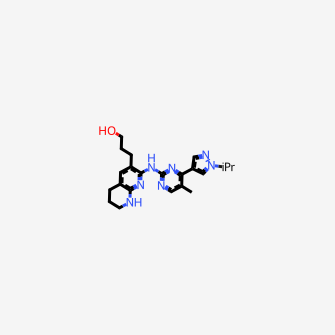 Cc1cnc(Nc2nc3c(cc2CCCO)CCCN3)nc1-c1cnn(C(C)C)c1